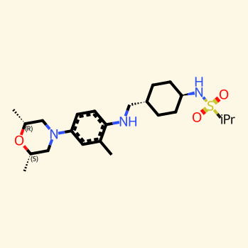 Cc1cc(N2C[C@@H](C)O[C@@H](C)C2)ccc1NC[C@H]1CC[C@H](NS(=O)(=O)C(C)C)CC1